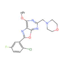 CCCOc1nc(CN2CCOCC2)nc2oc(-c3cc(F)ccc3Cl)nc12